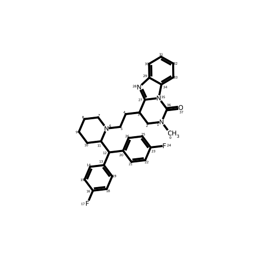 CN1CC(CCN2CCCCC2C(c2ccc(F)cc2)c2ccc(F)cc2)c2nc3ccccc3n2C1=O